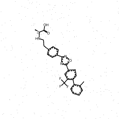 Cc1ccccc1-c1ccc(-c2nc(-c3ccc(CCN[C@@H](C)C(=O)O)cc3)no2)cc1C(F)(F)F